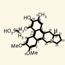 COc1cc2c3c(c4cc(C)c(O)c(C)c4c2cc1OC)C[C@@H]1CCCN1C3.CS(=O)(=O)O